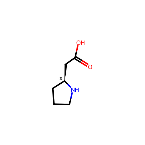 O=C(O)C[C@@H]1CCCN1